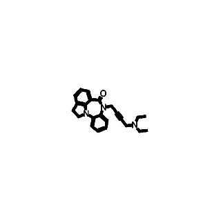 CCN(CC)CC#CCN1C(=O)c2cccc3c2N(CC3)c2ccccc21